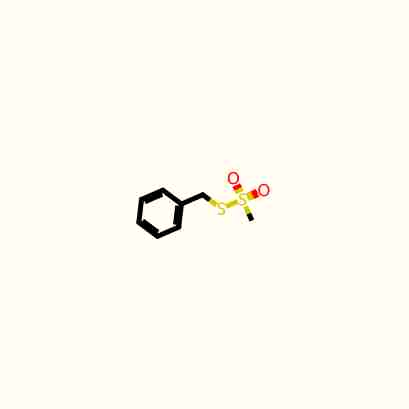 CS(=O)(=O)SCc1ccccc1